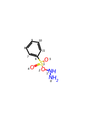 NNOS(=O)(=O)c1ccccc1